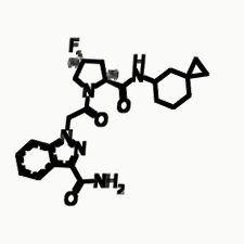 NC(=O)c1nn(CC(=O)N2C[C@H](F)C[C@H]2C(=O)NC2CCCC3(CC3)C2)c2ccccc12